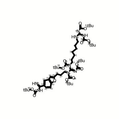 CC(C)(C)OC(=O)N=C(NCCCCCCCN(C(=O)OC(C)(C)C)C(=NC(=O)OC(C)(C)C)N(CCCc1cc2cc(C(=N)NC(=O)OC(C)(C)C)ccc2o1)C(=O)OC(C)(C)C)NC(=O)OC(C)(C)C